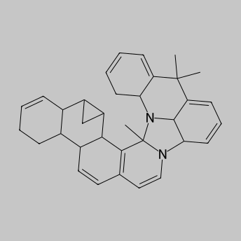 CC1(C)C2=CC=CCC2N2C3C1=CC=CC3N1C=CC3=C(C4C(C=C3)C3CCC=CC3C3CC34)C12C